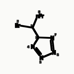 CCCC(Br)C1N=NN=N1